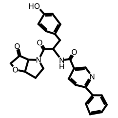 O=C(NC(Cc1ccc(O)cc1)C(=O)N1CCC2OCC(=O)C21)c1ccc(-c2ccccc2)nc1